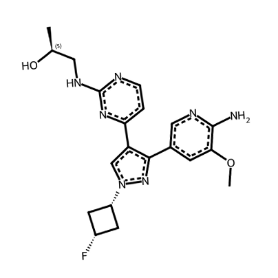 COc1cc(-c2nn([C@H]3C[C@@H](F)C3)cc2-c2ccnc(NC[C@H](C)O)n2)cnc1N